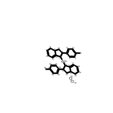 Cc1ccc(C2CC3CC=CC=C3[CH]2[Zr+2][CH]2C3=CC=CCC3CC2c2ccc(C)cc2)cc1.[Cl-].[Cl-]